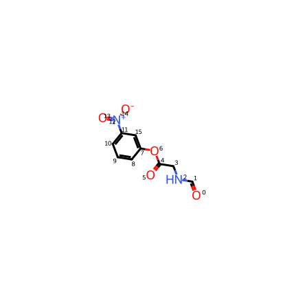 O=CNCC(=O)Oc1cccc([N+](=O)[O-])c1